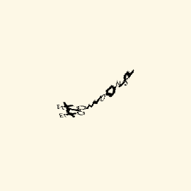 CCC(C)(C)CC(C(=O)OCCCCCCOc1ccc(/N=C/c2ccc(C)s2)cc1)C(C)(C)CC